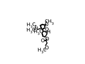 CCN(C)Cc1ccc(OC)c2c1[C@]1(C)C=C[C@H](OC(=O)CCOC)C[C@@H]1O2